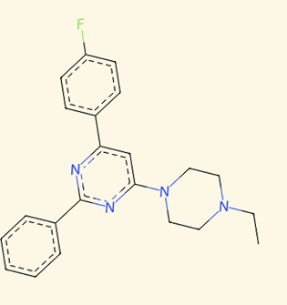 CCN1CCN(c2cc(-c3ccc(F)cc3)nc(-c3ccccc3)n2)CC1